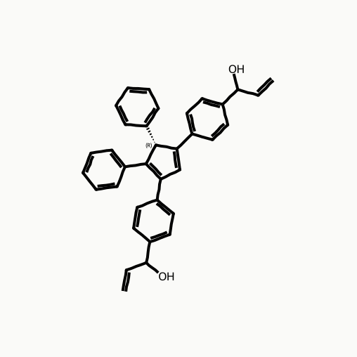 C=CC(O)c1ccc(C2=CC(c3ccc(C(O)C=C)cc3)=C(c3ccccc3)[C@@H]2c2ccccc2)cc1